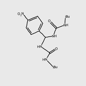 CCC(C)NC(=O)NC(NC(=O)NC(C)CC)c1ccc([N+](=O)[O-])cc1